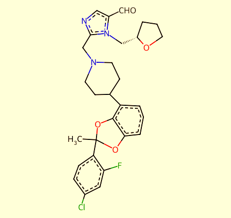 CC1(c2ccc(Cl)cc2F)Oc2cccc(C3CCN(Cc4ncc(C=O)n4C[C@@H]4CCCO4)CC3)c2O1